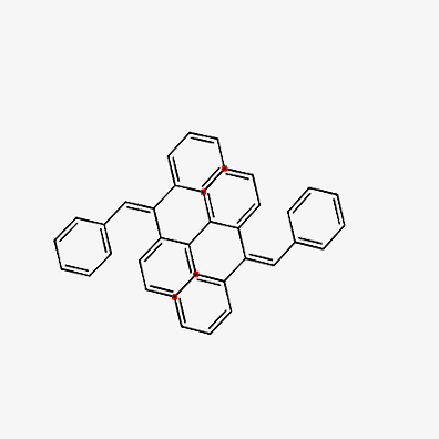 C(=C(\c1ccccc1)c1ccccc1-c1ccccc1/C(=C\c1ccccc1)c1ccccc1)/c1ccccc1